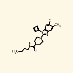 CCCCNC(=O)C1CCN(c2nc3cc(C)c(Cl)cc3n2C2=CC=C2)CC1